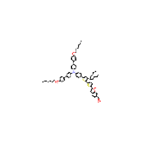 CCCCCCOc1ccc(-c2ccc(N(c3ccc(-c4ccc(OCCCCCC)cc4)cc3)c3ccc(-c4cc5c(s4)-c4sc(-c6cc7ccc(C=O)cc7o6)cc4C5(CCCC)CCCC)cc3)cc2)cc1